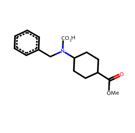 COC(=O)C1CCC(N(Cc2ccccc2)C(=O)O)CC1